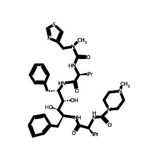 CC(C)[C@H](NC(=O)N(C)Cc1cscn1)C(=O)N[C@@H](Cc1ccccc1)[C@H](O)[C@@H](O)[C@H](Cc1ccccc1)NC(=O)[C@@H](NC(=O)N1CCN(C)CC1)C(C)C